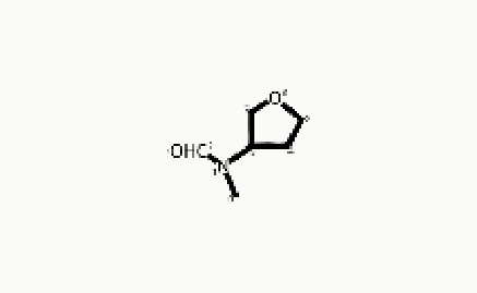 CN([C]=O)C1CCOC1